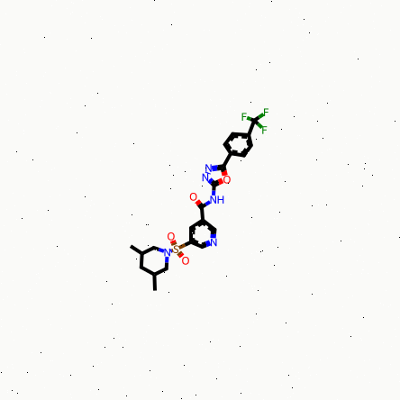 CC1CC(C)CN(S(=O)(=O)c2cncc(C(=O)Nc3nnc(-c4ccc(C(F)(F)F)cc4)o3)c2)C1